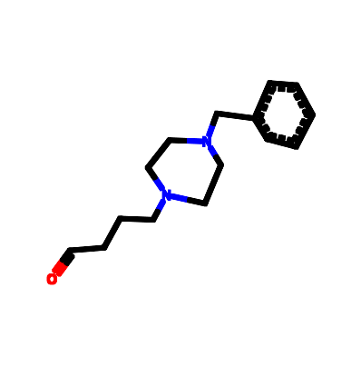 O=CCCCN1CCN(Cc2ccccc2)CC1